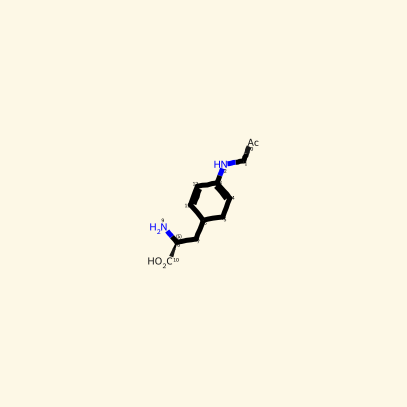 CC(=O)CNC1=CCC(C[C@H](N)C(=O)O)C=C1